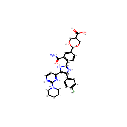 NC(=O)c1cc(C2OCC(C(=O)O)CO2)ccc1-c1nc(-c2ccc(F)cc2)c(-c2ccnc(N3CCCCC3)n2)[nH]1